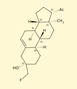 CC(=O)[C@H]1CC[C@H]2[C@@H]3CC=C4C[C@](O)(CF)CC[C@@H]4[C@H]3CC[C@]12C